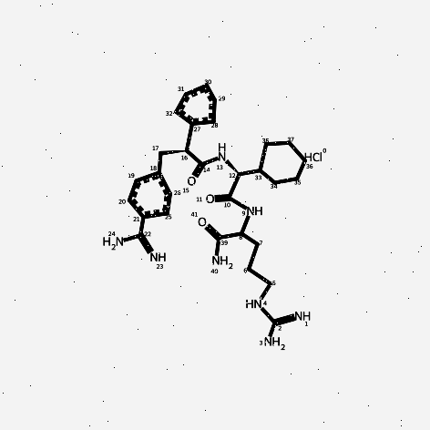 Cl.N=C(N)NCCCC(NC(=O)[C@@H](NC(=O)[C@@H](Cc1ccc(C(=N)N)cc1)c1ccccc1)C1CCCCC1)C(N)=O